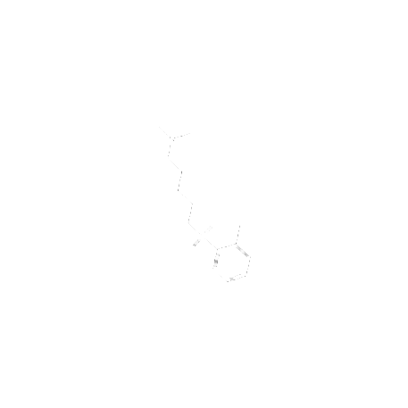 Cc1ccccc1S(=O)(=O)CCCCCN(C)C